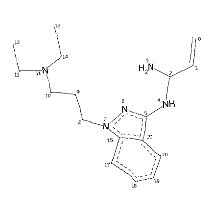 C=CC(N)Nc1nn(CCCN(CC)CC)c2ccccc12